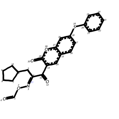 O=CO/N=C(\CC1CCCC1)C(=O)c1cc2ccc(Sc3ccccc3)cc2oc1=O